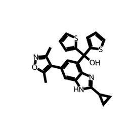 Cc1noc(C)c1-c1cc(C(O)(c2cccs2)c2cccs2)c2nc(C3CC3)[nH]c2c1